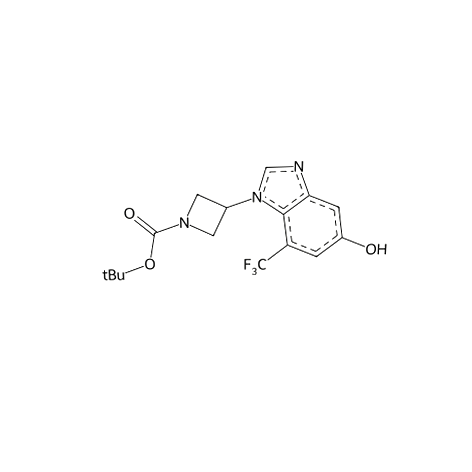 CC(C)(C)OC(=O)N1CC(n2cnc3cc(O)cc(C(F)(F)F)c32)C1